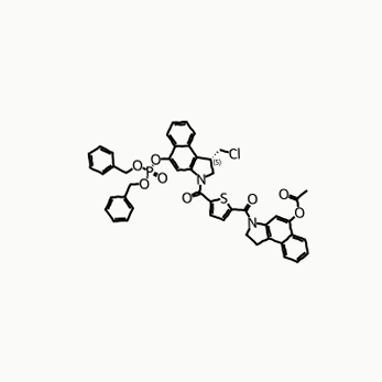 CC(=O)Oc1cc2c(c3ccccc13)CCN2C(=O)c1ccc(C(=O)N2C[C@@H](CCl)c3c2cc(OP(=O)(OCc2ccccc2)OCc2ccccc2)c2ccccc32)s1